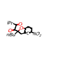 CCCCC1(C(=O)C(=O)C(C)C)Cc2cc([N+](=O)[O-])ccc2O1